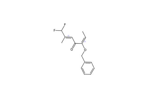 C/C=C(/OCc1ccccc1)C(=O)/C=C(\C)C(F)F